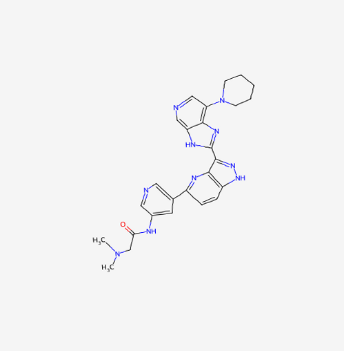 CN(C)CC(=O)Nc1cncc(-c2ccc3[nH]nc(-c4nc5c(N6CCCCC6)cncc5[nH]4)c3n2)c1